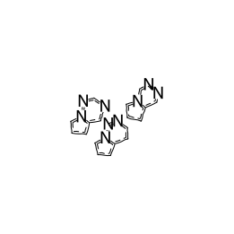 c1cc2ccnnn2c1.c1cc2cncnn2c1.c1cc2cnncn2c1